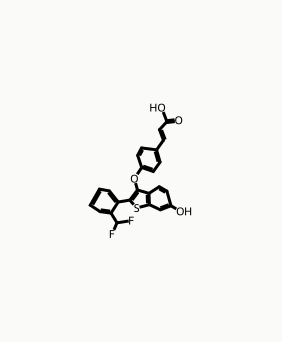 O=C(O)C=Cc1ccc(Oc2c(-c3ccccc3C(F)F)sc3cc(O)ccc23)cc1